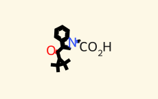 CC1(C)C(C(=O)c2cn(CC(=O)O)c3ccccc23)C1(C)C